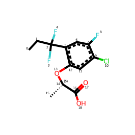 CCC(F)(F)c1cc(F)c(Cl)cc1O[C@@H](C)C(=O)O